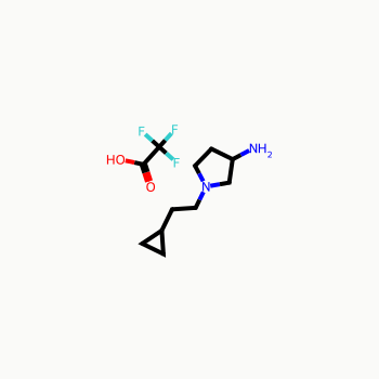 NC1CCN(CCC2CC2)C1.O=C(O)C(F)(F)F